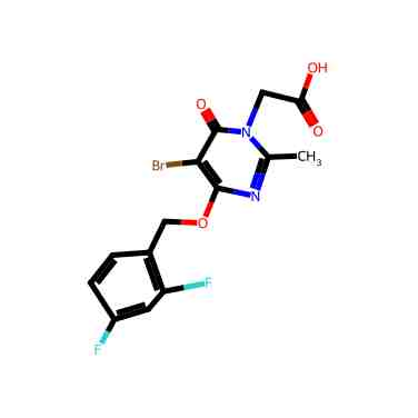 Cc1nc(OCc2ccc(F)cc2F)c(Br)c(=O)n1CC(=O)O